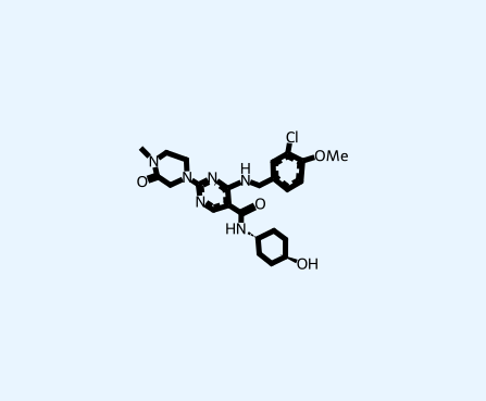 COc1ccc(CNc2nc(N3CCN(C)C(=O)C3)ncc2C(=O)N[C@H]2CC[C@H](O)CC2)cc1Cl